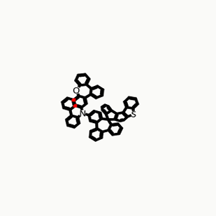 c1ccc(-c2ccccc2N(c2ccc3c(c2)-c2ccccc2-c2ccccc2O3)c2ccc3c(c2)-c2ccccc2-c2ccccc2C32c3ccccc3-c3c2ccc2sc4ccccc4c32)cc1